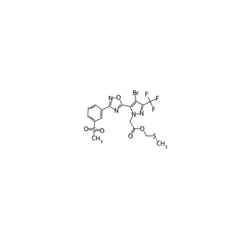 CSCOC(=O)Cn1nc(C(F)(F)F)c(Br)c1-c1nc(-c2cccc(S(C)(=O)=O)c2)no1